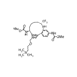 COC(=O)Nc1ccc2c(c1)N[C@@H](C(F)(F)F)CCCC[C@H](NC(=O)OC(C)(C)C)c1nc-2cn1COCC[Si](C)(C)C